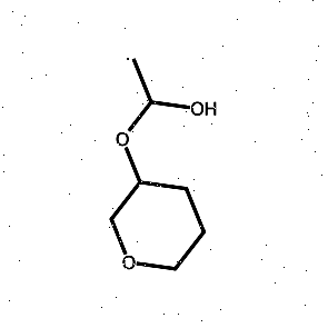 [CH2]C(O)OC1CCCOC1